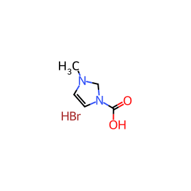 Br.CN1C=CN(C(=O)O)C1